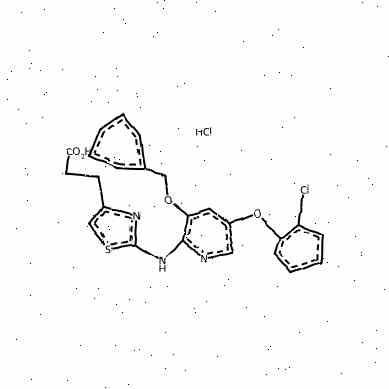 Cl.O=C(O)CCc1csc(Nc2ncc(Oc3ccccc3Cl)cc2OCc2ccccc2)n1